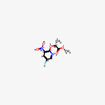 COC(=O)[C@@H](C)Oc1ncc(F)cc1[N+](=O)[O-]